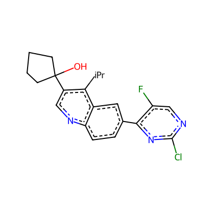 CC(C)c1c(C2(O)CCCC2)cnc2ccc(-c3nc(Cl)ncc3F)cc12